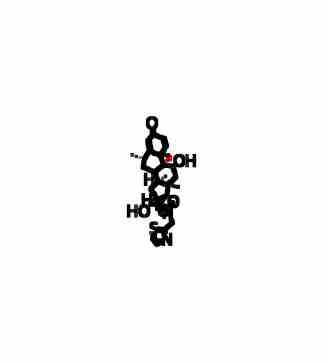 C[C@H]1C[C@@H]2[C@](C)([C@@H](O)C[C@@]3(C)[C@@]2(C)C[C@H]2CN(Cc4nccs4)O[C@]23C(=O)CO)[C@@]2(C)C=CC(=O)C=C12